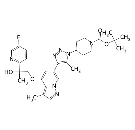 Cc1cnn2cc(-c3nnn(C4CCN(C(=O)OC(C)(C)C)CC4)c3C)cc(OCC(C)(O)c3ccc(F)cn3)c12